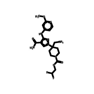 COc1cc(Nc2nn(C3(CN)CCN(C(=O)OCC(F)F)CC3)cc2C(N)=O)ccn1